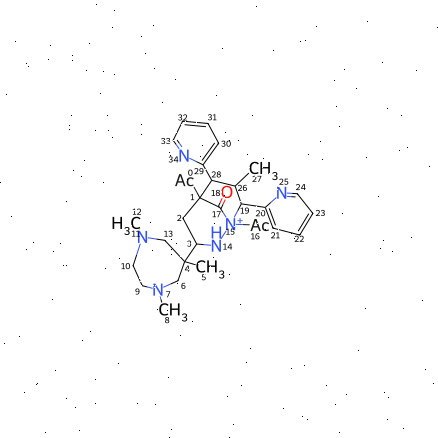 CC(=O)C12CC(C3(C)CN(C)CCN(C)C3)N[N+](C(C)=O)(C1=O)C(c1ccccn1)C(C)C2c1ccccn1